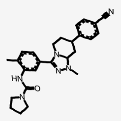 Cc1ccc(C2=NN(C)C3CC(c4ccc(C#N)cc4)CCN23)cc1NC(=O)N1CCCC1